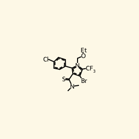 CCOCn1c(-c2ccc(Cl)cc2)c(C(=S)N(C)C)c(Br)c1C(F)(F)F